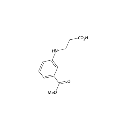 COC(=O)c1cccc(NCCC(=O)O)c1